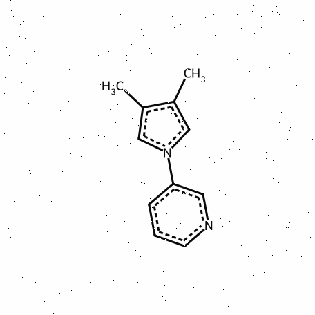 Cc1cn(-c2cccnc2)cc1C